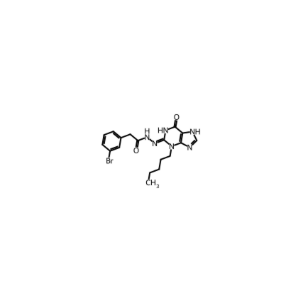 CCCCCn1/c(=N/NC(=O)Cc2cccc(Br)c2)[nH]c(=O)c2[nH]cnc21